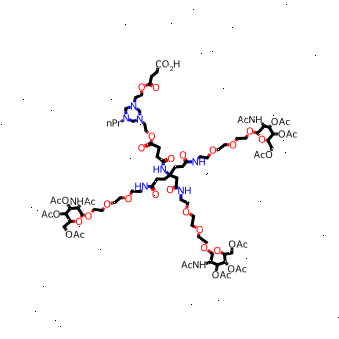 CCCN1CN(CCOC(=O)CCC(=O)O)CN(CCOC(=O)CCC(=O)NC(CCC(=O)NCCOCCOCCOC2OC(COC(C)=O)C(OC(C)=O)C(OC(C)=O)C2NC(C)=O)(CCC(=O)NCCOCCOCCOC2OC(COC(C)=O)C(OC(C)=O)C(OC(C)=O)C2NC(C)=O)CC(=O)NCCOCCOCCOC2OC(COC(C)=O)C(OC(C)=O)C(OC(C)=O)C2NC(C)=O)C1